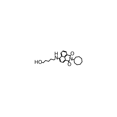 O=C1c2cccc3c(NCCCCCO)ccc(c23)C(=O)N1C1CCCCCCC1